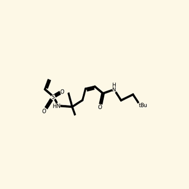 C=CS(=O)(=O)NC(C)(C)C/C=C\C(=O)NCCC(C)(C)C